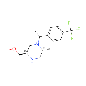 COC[C@H]1CN(C(C)c2ccc(C(F)(F)F)cc2)[C@H](C)CN1